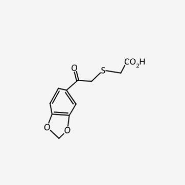 O=C(O)CSCC(=O)c1ccc2c(c1)OCO2